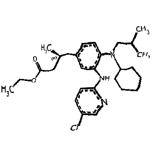 CCOC(=O)C[C@@H](C)c1ccc(N(CC(C)C)C2CCCCC2)c(Nc2ccc(Cl)cn2)c1